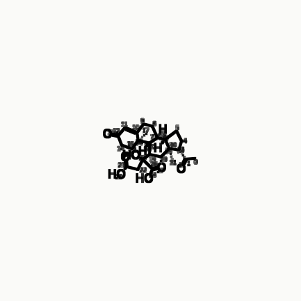 CC(=O)[C@H]1CC[C@H]2[C@@H]3CCC4=CC(=O)CC[C@]4(C)[C@H]3C(C(O)(CC(=O)O)C(=O)O)C[C@]12C